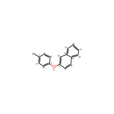 Cc1ccc(Oc2ccc3ccccc3c2)cc1